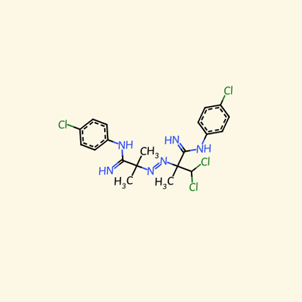 CC(C)(N=NC(C)(C(=N)Nc1ccc(Cl)cc1)C(Cl)Cl)C(=N)Nc1ccc(Cl)cc1